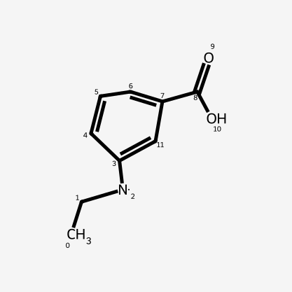 CC[N]c1cccc(C(=O)O)c1